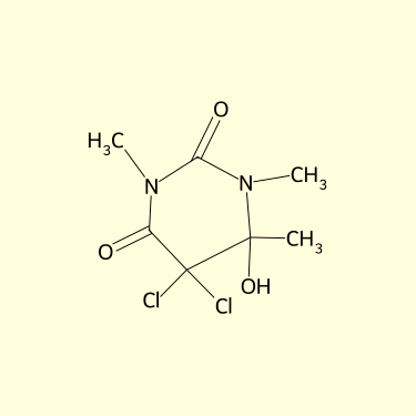 CN1C(=O)N(C)C(C)(O)C(Cl)(Cl)C1=O